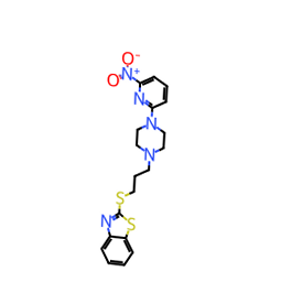 O=[N+]([O-])c1cccc(N2CCN(CCCSc3nc4ccccc4s3)CC2)n1